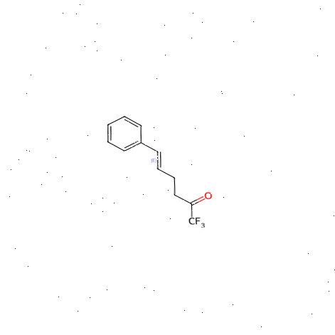 O=C(CC/C=C/c1ccccc1)C(F)(F)F